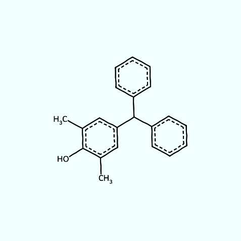 Cc1cc(C(c2ccccc2)c2ccccc2)cc(C)c1O